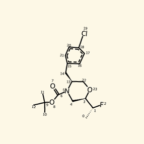 C[C@@H](F)[C@H]1CN(C(=O)OC(C)(C)C)[C@@H](Cc2ccc(Cl)cc2)CO1